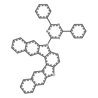 c1ccc(-c2nc(-c3ccccc3)nc(-n3c4cc5ccccc5cc4c4c5c(ccc43)oc3cc4ccccc4cc35)n2)cc1